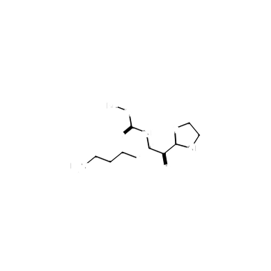 CC(C)(C)OC(=O)N[C@@H](CCCCN)C(=O)C1NCCS1